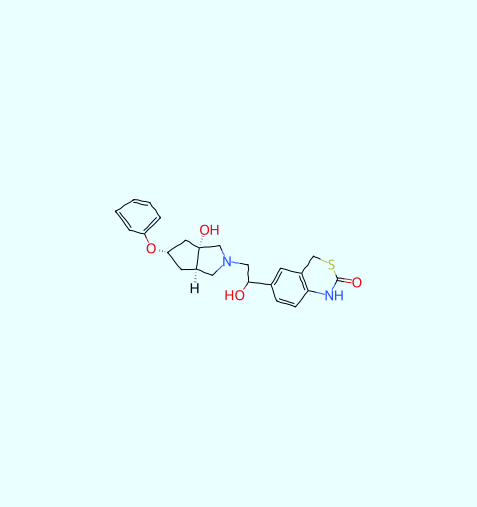 O=C1Nc2ccc(C(O)CN3C[C@H]4C[C@H](Oc5ccccc5)C[C@@]4(O)C3)cc2CS1